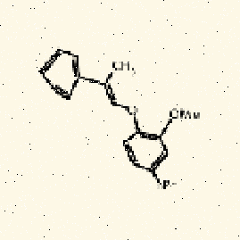 CCCc1ccc(O/C=C(\C)c2ccccc2)c(OC)c1